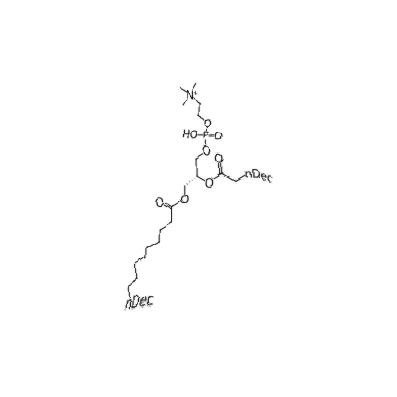 CCCCCCCCCCCCCCCCCCC(=O)OC[C@H](COP(=O)(O)OCC[N+](C)(C)C)OC(=O)CCCCCCCCCCC